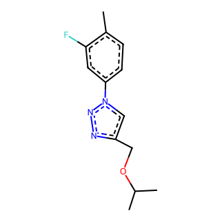 Cc1ccc(-n2cc(COC(C)C)nn2)cc1F